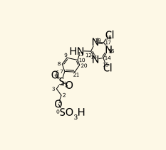 O=S(=O)(O)OCCS(=O)(=O)c1ccc(Nc2nc(Cl)nc(Cl)n2)cc1